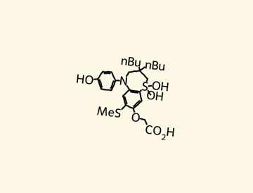 CCCCC1(CCCC)CN(c2ccc(O)cc2)c2cc(SC)c(OCC(=O)O)cc2S(O)(O)C1